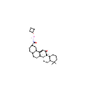 CC1(C)C2CC[C@]3(C)[C@H](C(=O)C=C4[C@@H]5C[C@@](C)(C(=O)NOC6CCC6)CC[C@]5(C)CC[C@]43C)[C@@]2(C)CC[C@@H]1O